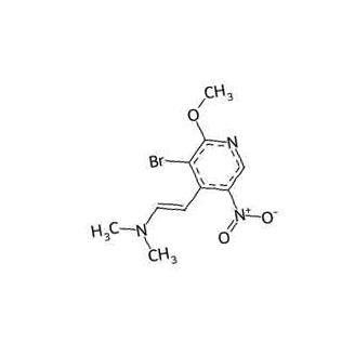 COc1ncc([N+](=O)[O-])c(C=CN(C)C)c1Br